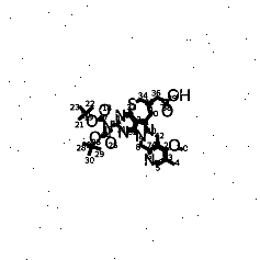 COc1c(C)cnc(Cn2nc3c4c(nc(N(C(=O)OC(C)(C)C)C(=O)OC(C)(C)C)nc42)SCC(CC(=O)O)=C3)c1C